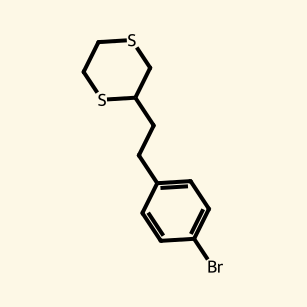 Brc1ccc(CCC2CSCCS2)cc1